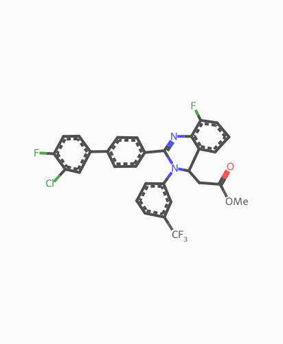 COC(=O)CC1c2cccc(F)c2N=C(c2ccc(-c3ccc(F)c(Cl)c3)cc2)N1c1cccc(C(F)(F)F)c1